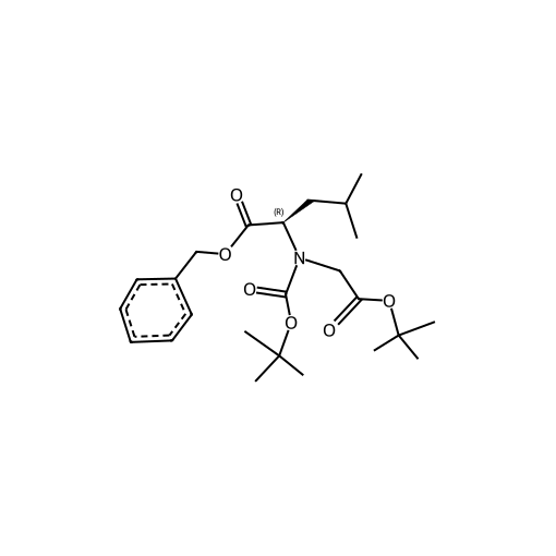 CC(C)C[C@H](C(=O)OCc1ccccc1)N(CC(=O)OC(C)(C)C)C(=O)OC(C)(C)C